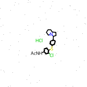 CC(=O)Nc1ccc(Sc2ccc(C3CCC4CCCCN43)cc2)c(Cl)c1.Cl